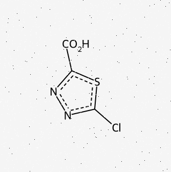 O=C(O)c1nnc(Cl)s1